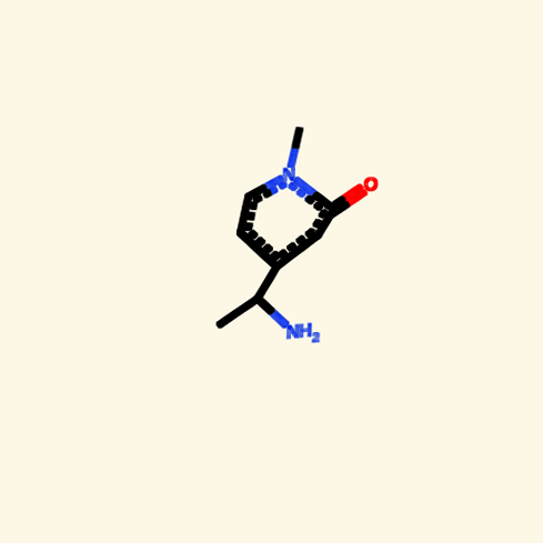 CC(N)c1ccn(C)c(=O)c1